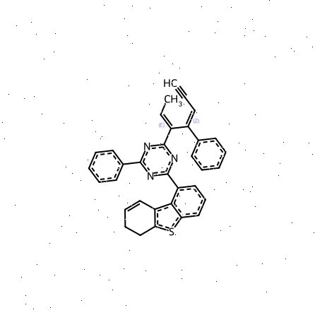 C#C/C=C(\C(=C/C)c1nc(-c2ccccc2)nc(-c2cccc3sc4c(c23)C=CCC4)n1)c1ccccc1